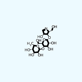 C[C@H]1O[C@@H](O[C@H]2[C@H](O)[C@@H](O)[C@@H](O[C@H]3[C@H](O)C=N[C@@H]3CO)O[C@@H]2CO)[C@H](O)[C@@H](O)[C@@H]1O